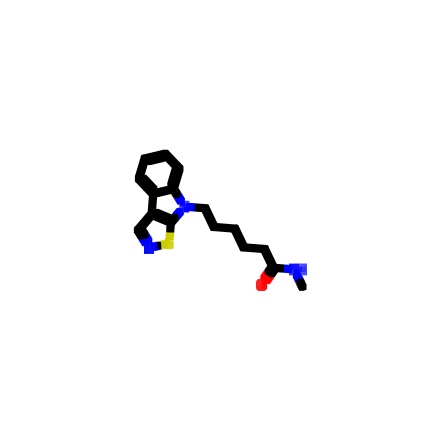 CNC(=O)CCCCCn1c2ccccc2c2cnsc21